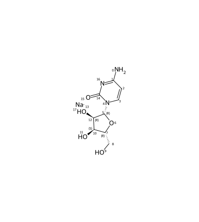 Nc1ccn([C@@H]2O[C@H](CO)[C@@H](O)[C@H]2O)c(=O)n1.[Na]